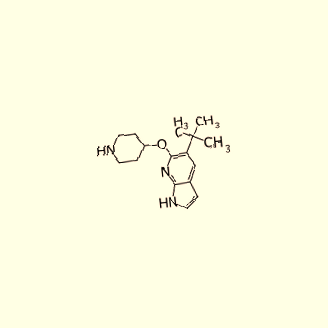 CC(C)(C)c1cc2cc[nH]c2nc1OC1CCNCC1